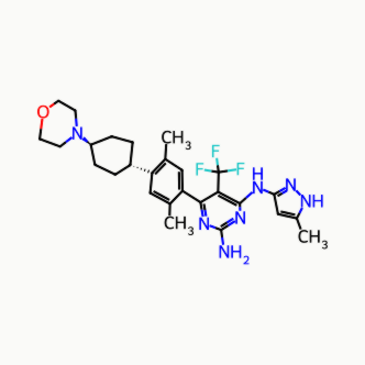 Cc1cc(Nc2nc(N)nc(-c3cc(C)c([C@H]4CC[C@H](N5CCOCC5)CC4)cc3C)c2C(F)(F)F)n[nH]1